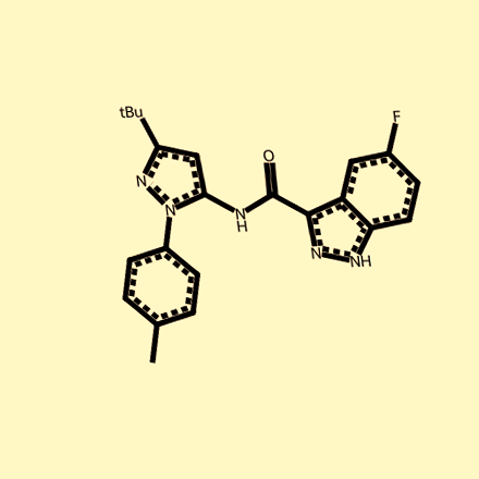 Cc1ccc(-n2nc(C(C)(C)C)cc2NC(=O)c2n[nH]c3ccc(F)cc23)cc1